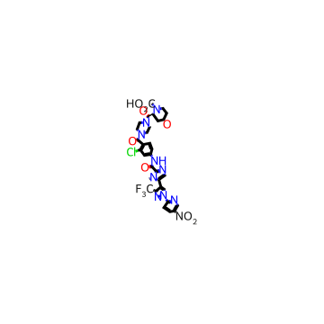 Cn1c(-c2cn(-c3ccc([N+](=O)[O-])cn3)nc2C(F)(F)F)cnc1C(=O)Nc1ccc(C(=O)N2CCN(C(=O)[C@@H]3CC(=O)CCN3C(=O)O)CC2)c(Cl)c1